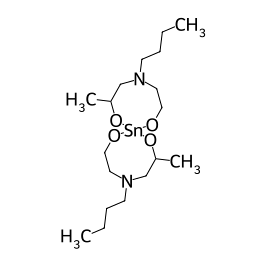 CCCCN1CC[O][Sn]2([O]CCN(CCCC)CC(C)[O]2)[O]C(C)C1